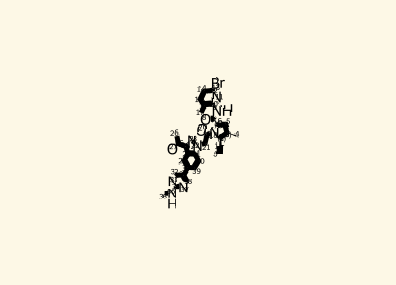 C#C[C@@H]1[C@@H](C)C[C@@H](C(=O)Nc2nc(Br)ccc2C)N1C(=O)Cn1nc(C(C)=O)c2cc(-c3cnc(NC)nc3)ccc21